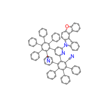 N#Cc1c(-c2ccccc2)c(-c2ccccc2)c(-c2ccccc2)c(-c2ccccc2)c1-c1cc(-c2c(C#N)c(-c3ccccc3)c(-c3ccccc3)c(-c3ccccc3)c2-c2ccccc2)nc(-n2c3ccccc3c3c4c(ccc32)oc2ccccc24)c1